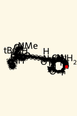 C=C1/C=C(F)\C=C/CC(=O)N(C2CC2)Cc2nn(CCNC(=O)CCCCCCCCOc3ccc4c(c3)CN(C(=O)[C@@H](NC(=O)[C@H](C)NC)C(C)(C)C)[C@H](C(=O)N[C@@H]3CCCc5ccccc53)C4)c(C#N)c2-c2cnc(N)c(c2)N2CCC[C@H]12